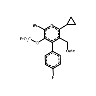 CCOC(=O)Oc1c(C(C)C)nc(C2CC2)c(COC)c1-c1ccc(F)cc1